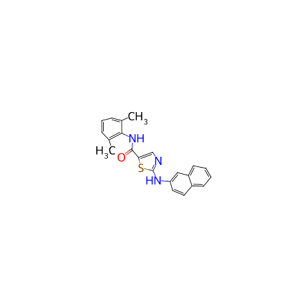 Cc1cccc(C)c1NC(=O)c1cnc(Nc2ccc3ccccc3c2)s1